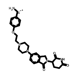 C[C@@H](N)c1ccc(OCCN2CCN(c3ccc4c(c3)CN(C3CCC(=O)NC3=O)C4=O)CC2)cc1